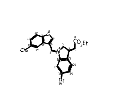 CCOC(=O)CC1CN(Cc2csc3ccc(Cl)cc23)c2cc(Br)ccc21